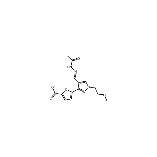 COCCn1cc(/C=N/NC(C)=O)c(-c2ccc([N+](=O)[O-])o2)n1